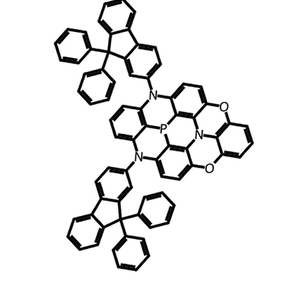 c1ccc(C2(c3ccccc3)c3ccccc3-c3ccc(-n4c5cccc6c5p5c7c4ccc4oc8cccc9oc%10ccc(c5c%10n(c89)c47)n6-c4ccc5c(c4)C(c4ccccc4)(c4ccccc4)c4ccccc4-5)cc32)cc1